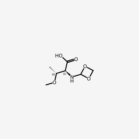 CO[C@H](C)[C@H](NC1OCO1)C(=O)O